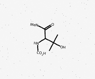 CNC(=O)C(NC(=O)O)C(C)(C)O